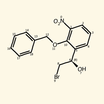 O=[N+]([O-])c1cccc([C@@H](O)CBr)c1OCc1ccccc1